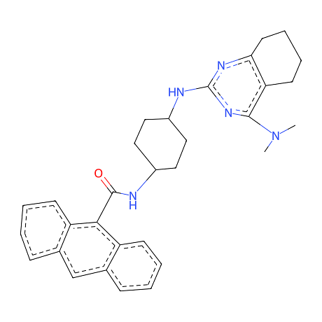 CN(C)c1nc(NC2CCC(NC(=O)c3c4ccccc4cc4ccccc34)CC2)nc2c1CCCC2